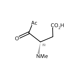 CN[C@@H](CC(=O)O)C(=O)C(C)=O